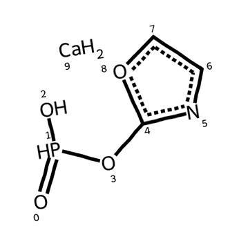 O=[PH](O)Oc1ncco1.[CaH2]